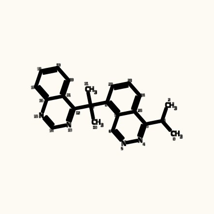 CC(C)c1nncc2c(C(C)(C)c3ncnc4ccccc34)cccc12